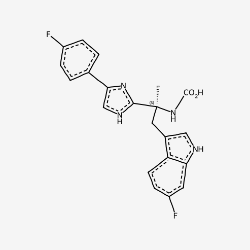 C[C@@](Cc1c[nH]c2cc(F)ccc12)(NC(=O)O)c1nc(-c2ccc(F)cc2)c[nH]1